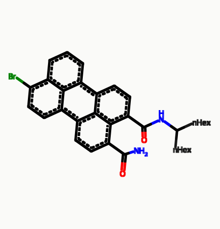 CCCCCCC(CCCCCC)NC(=O)c1ccc2c3cccc4c(Br)ccc(c5ccc(C(N)=O)c1c52)c43